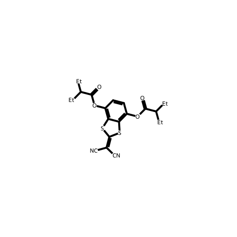 CCC(CC)C(=O)Oc1ccc(OC(=O)C(CC)CC)c2c1SC(=C(C#N)C#N)S2